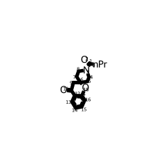 CCCC(=O)N1CCC2(CC1)CC(=O)c1ccccc1O2